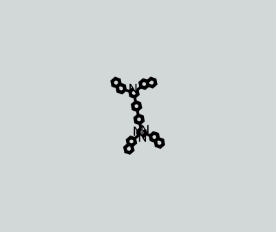 c1ccc2cc(-c3cc(-c4ccc(-c5ccc(-c6nc(-c7ccc8ccccc8c7)nc(-c7ccc8ccccc8c7)n6)cc5)cc4)cc(-c4ccc5ccccc5c4)n3)ccc2c1